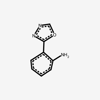 Nc1ccccc1-c1nnco1